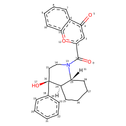 O=C(c1cc(=O)c2ccccc2o1)N1CC[C@@](O)(c2ccccc2)[C@@H]2CCCC[C@H]21